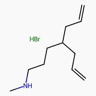 Br.C=CCC(CC=C)CCCNC